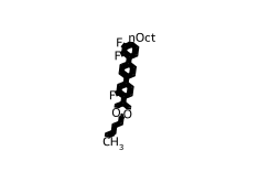 C/C=C/CCC1OCC(c2ccc(-c3ccc(-c4ccc(CCCCCCCC)c(F)c4F)cc3)cc2F)CO1